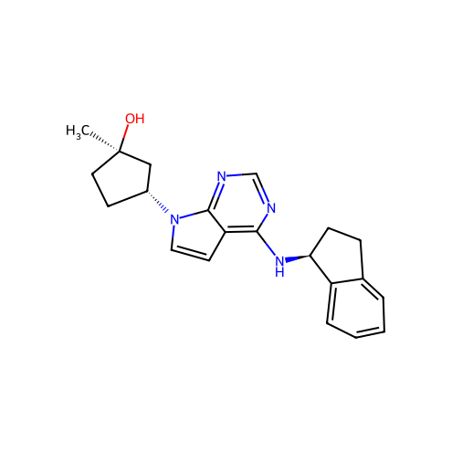 C[C@@]1(O)CC[C@@H](n2ccc3c(N[C@H]4CCc5ccccc54)ncnc32)C1